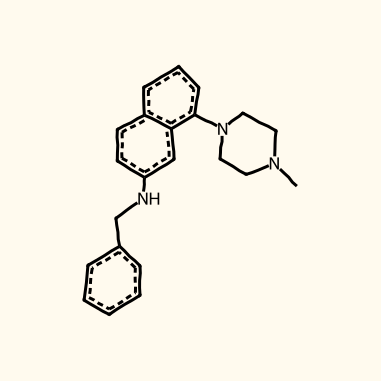 CN1CCN(c2cccc3ccc(NCc4ccccc4)cc23)CC1